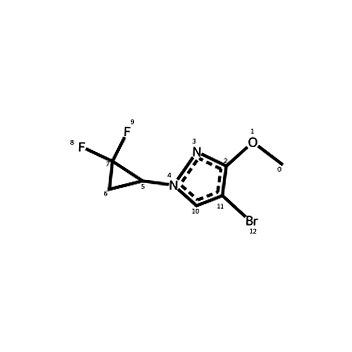 COc1nn(C2CC2(F)F)cc1Br